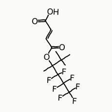 CC(C)(C)C(C)(OC(=O)/C=C/C(=O)O)C(F)(F)C(F)(F)C(F)(F)F